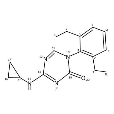 CCc1cccc(CC)c1-n1cnc(NC2CC2)nc1=O